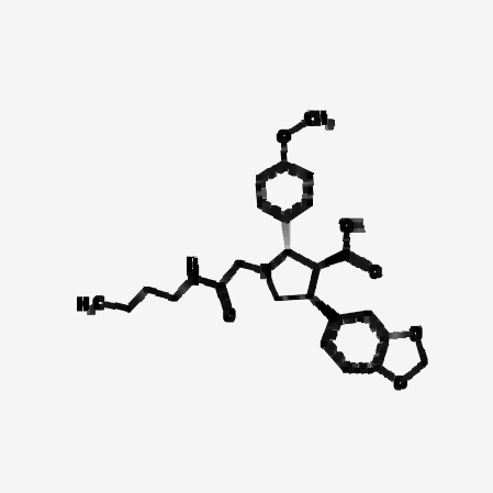 CCCCNC(=O)CN1C[C@H](c2ccc3c(c2)OCO3)[C@H](C(=O)O)[C@H]1c1ccc(OC)cc1